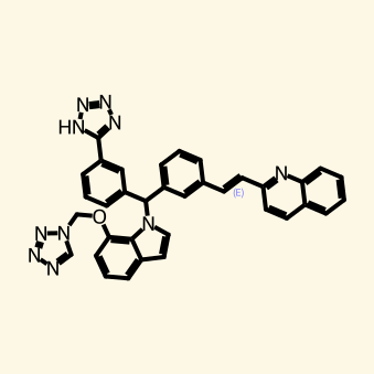 C(=C\c1ccc2ccccc2n1)/c1cccc(C(c2cccc(-c3nnn[nH]3)c2)n2ccc3cccc(OCn4cnnn4)c32)c1